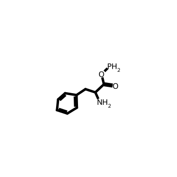 NC(Cc1ccccc1)C(=O)OP